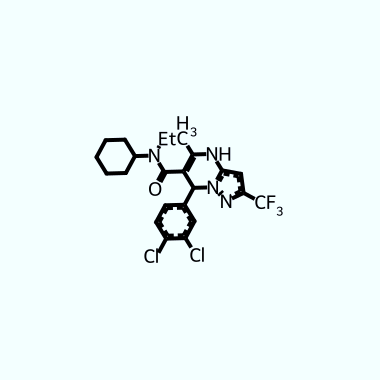 CCN(C(=O)C1=C(C)Nc2cc(C(F)(F)F)nn2C1c1ccc(Cl)c(Cl)c1)C1CCCCC1